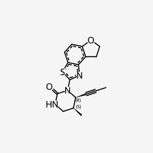 CC#C[C@H]1[C@@H](C)CNC(=O)N1c1nc2c3c(ccc2s1)OCC3